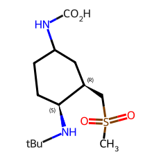 CC(C)(C)N[C@H]1CCC(NC(=O)O)C[C@H]1CS(C)(=O)=O